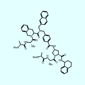 CN[C@@H](C)C(=O)N[C@H](C(=O)N1Cc2ccccc2CC1C(=O)N(Cc1ccc(C(=O)N[C@H]2C[C@@H](C(=O)NC3CCCc4ccccc43)N(C(=O)[C@@H](NC(=O)[C@H](C)NC)C(C)(C)C)C2)cc1)Cc1ccc2ccccc2c1)C(C)(C)C